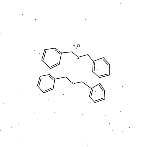 O.c1ccc(CSCc2ccccc2)cc1.c1ccc(CSCc2ccccc2)cc1